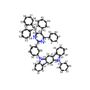 c1ccc(-c2nc(-c3cccc(-n4c5ccccc5c5cc6c(cc54)c4ccccc4n6-c4ccccc4)c3)nc3c2-c2ccccc2[Si]3(c2ccccc2)c2ccccc2)cc1